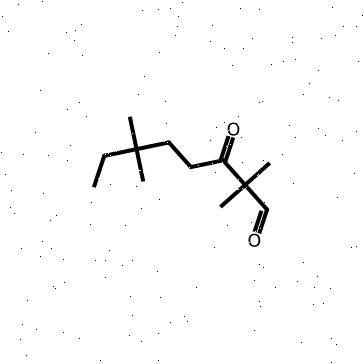 CCC(C)(C)CCC(=O)C(C)(C)C=O